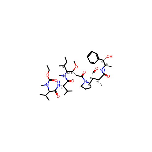 CCOC(=O)N(C)C(C(=O)N[C@H](C(=O)N(C)[C@@H]([C@@H](C)CC)[C@@H](CC(=O)N1CCC[C@H]1[C@H](C=O)[C@@H](C)C(=O)N[C@H](C)[C@@H](O)c1ccccc1)OC)C(C)C)C(C)C